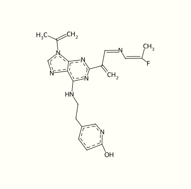 C=C(/C=N\C=C(/C)F)c1nc(NCCc2ccc(O)nc2)c2ncn(C(=C)C)c2n1